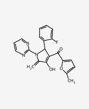 C=C1C(O)=C(C(=O)c2ccc(C)o2)C(c2ccccc2F)N1c1ncccn1